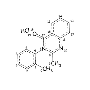 Cc1ccccc1-n1c(C)nc2ccccc2c1=O.Cl